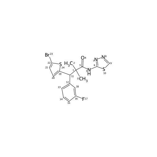 CC(C)(C(=O)Nc1nncs1)C(c1cccc(F)c1)c1ccc(Br)s1